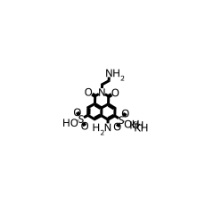 NCCN1C(=O)c2cc(S(=O)(=O)O)cc3c(N)c(S(=O)(=O)O)cc(c23)C1=O.[KH].[KH]